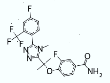 Cn1c(-c2ccc(F)cc2C(F)(F)F)nnc1C(C)(C)Oc1ccc(C(N)=O)cc1F